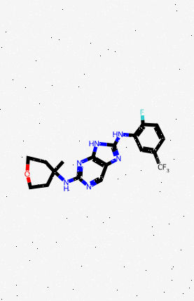 CC1(Nc2ncc3nc(Nc4cc(C(F)(F)F)ccc4F)[nH]c3n2)CCOCC1